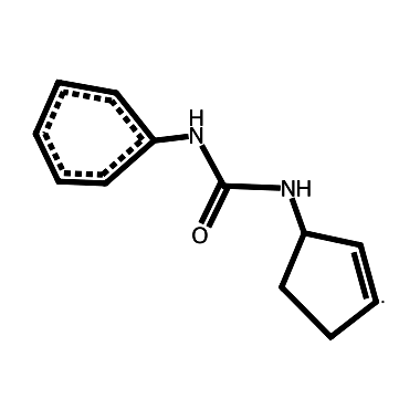 O=C(Nc1ccccc1)NC1C=[C]CC1